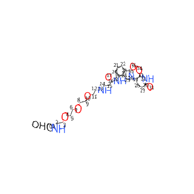 O=CNCCOCCOCCOCCNCCC(=O)Nc1cccc2c1CN(C1CCC(=O)NC1=O)C2=O